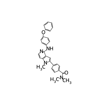 CN(C)C(=O)c1ccc(-c2cc3c(Nc4ccc(Oc5ccccc5)cc4)nccc3n2C)cc1